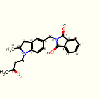 CC(=O)CCN1c2ccc(CN3C(=O)c4ccccc4C3=O)cc2CC1C